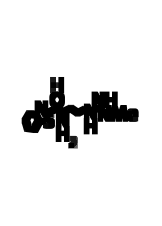 CNC(=N)NCCC[C@H](N)C(O)c1nc2ccccc2s1